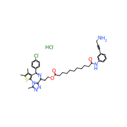 Cc1sc2c(c1C)C(c1ccc(Cl)cc1)=N[C@@H](CCOC(=O)CCCCCCCCCC(=O)Nc1cccc(C#CCN)c1)c1nnc(C)n1-2.Cl